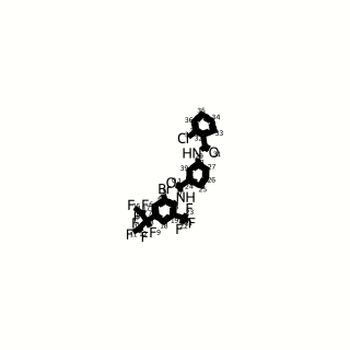 O=C(Nc1c(Br)cc(C(F)(C(F)(F)F)C(F)(F)F)cc1C(F)(F)F)c1cccc(NC(=O)c2ccccc2Cl)c1